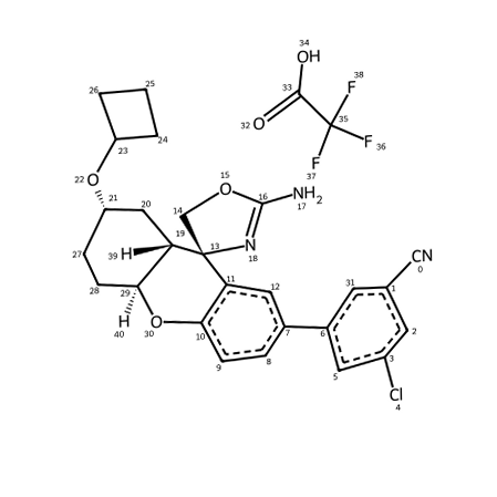 N#Cc1cc(Cl)cc(-c2ccc3c(c2)[C@]2(COC(N)=N2)[C@H]2C[C@@H](OC4CCC4)CC[C@@H]2O3)c1.O=C(O)C(F)(F)F